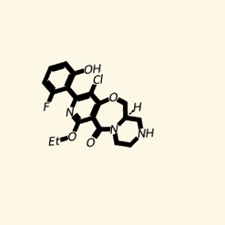 CCOc1nc(-c2c(O)cccc2F)c(Cl)c2c1C(=O)N1CCNC[C@@H]1CO2